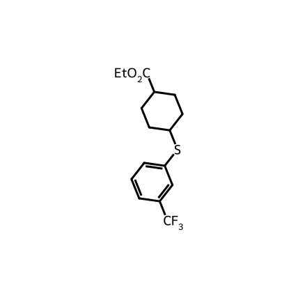 CCOC(=O)C1CCC(Sc2cccc(C(F)(F)F)c2)CC1